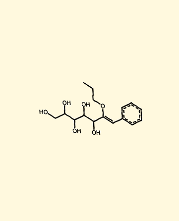 CCCOC(=Cc1ccccc1)C(O)C(O)C(O)C(O)CO